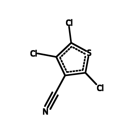 N#Cc1c(Cl)sc(Cl)c1Cl